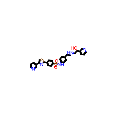 O=S(=O)(Nc1ccc(CCNCC(O)c2cccnc2)cc1)c1ccc(-c2nc(-c3cccnc3)cs2)cc1